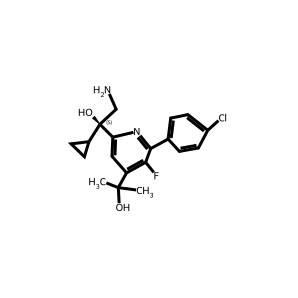 CC(C)(O)c1cc([C@@](O)(CN)C2CC2)nc(-c2ccc(Cl)cc2)c1F